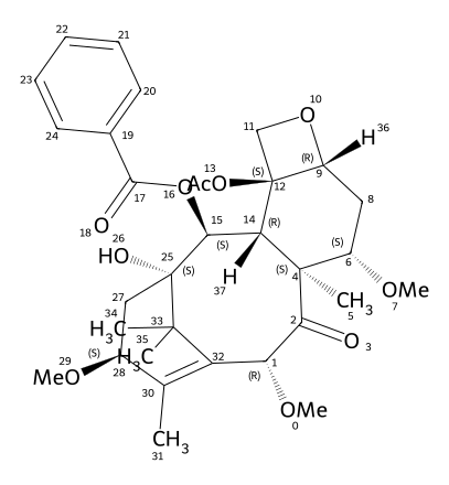 CO[C@H]1C(=O)[C@]2(C)[C@@H](OC)C[C@H]3OC[C@@]3(OC(C)=O)[C@H]2[C@H](OC(=O)c2ccccc2)[C@]2(O)C[C@H](OC)C(C)=C1C2(C)C